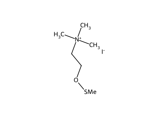 CSOCC[N+](C)(C)C.[I-]